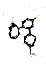 CCCCCCCCCc1ccc(-c2cc(F)ccc2-c2ccccc2F)cc1